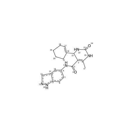 CC1=C(C(=O)Nc2ccc3[nH]ncc3c2)C(C2=CCCCC2)NC(=O)N1